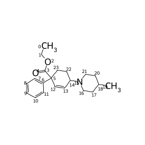 CCOC(=O)C1(c2ccccc2)C=CC(N2CCC(C)CC2)CC1